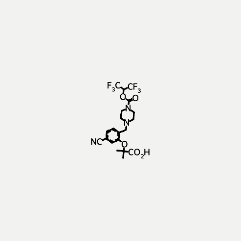 CC(C)(Oc1cc(C#N)ccc1CN1CCN(C(=O)OC(C(F)(F)F)C(F)(F)F)CC1)C(=O)O